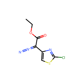 CCOC(=O)C(=[N+]=[N-])c1csc(Cl)n1